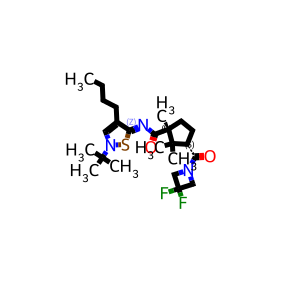 CCCCc1cn(C(C)(C)C)s/c1=N\C(=O)[C@]1(C)CC[C@H](C(=O)N2CC(F)(F)C2)C1(C)C